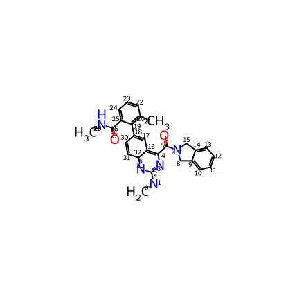 C=Nc1nc(C(=O)N2Cc3ccccc3C2)c2cc(-c3c(C)cccc3C(=O)NC)ccc2n1